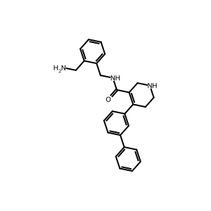 NCc1ccccc1CNC(=O)C1=C(c2cccc(-c3ccccc3)c2)CCNC1